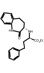 CCOC(=O)[C@@H](CCc1ccccc1)N[C@H]1CCc2ccccc2NC1=O